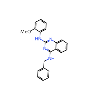 COc1ccccc1Nc1nc(NCc2ccccc2)c2ccccc2n1